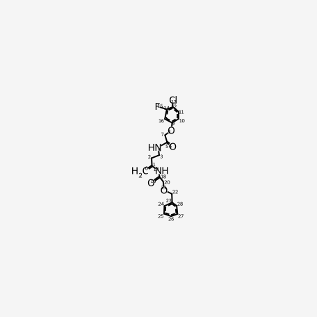 C=C(CCNC(=O)COc1ccc(Cl)c(F)c1)NC(=O)COCc1ccccc1